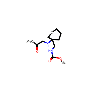 COC(=O)CNC1(CNC(=O)OC(C)(C)C)CCCCC1